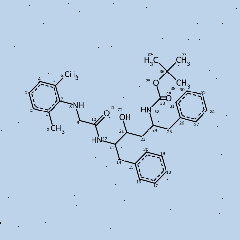 Cc1cccc(C)c1NCC(=O)NC(Cc1ccccc1)C(O)CC(Cc1ccccc1)NC(=O)OC(C)(C)C